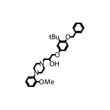 COc1ccccc1N1CCN(CC(O)COc2ccc(OCc3ccccc3)c(C(C)(C)C)c2)CC1